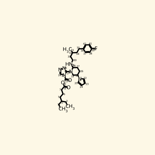 CCC(CC)CCCC(=O)OC(=O)n1cnnc1N1CC(n2cccc2)CCC1NCCC(C)CCc1ccc(F)cc1